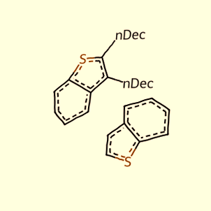 CCCCCCCCCCc1sc2ccccc2c1CCCCCCCCCC.c1ccc2sccc2c1